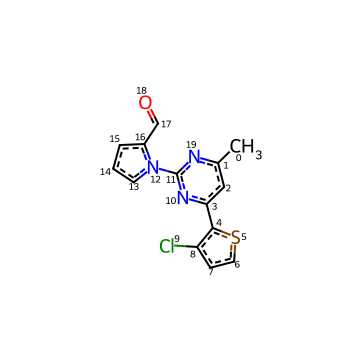 Cc1cc(-c2sccc2Cl)nc(-n2cccc2C=O)n1